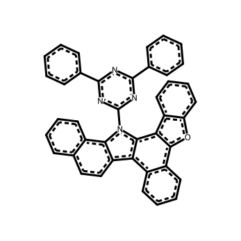 c1ccc(-c2nc(-c3ccccc3)nc(-n3c4c5ccccc5ccc4c4c5ccccc5c5oc6ccccc6c5c43)n2)cc1